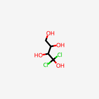 OCC(O)C(O)C(O)(Cl)Cl